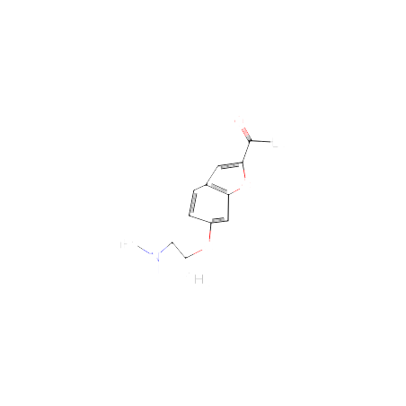 CCC(=O)c1cc2ccc(O[C@H](C)CNC(C)C)cc2o1